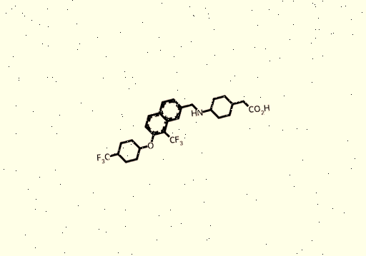 O=C(O)CC1CCC(NCc2ccc3ccc(OC4CCC(C(F)(F)F)CC4)c(C(F)(F)F)c3c2)CC1